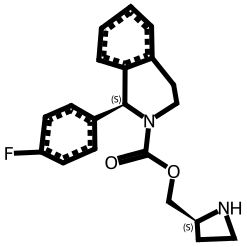 O=C(OC[C@@H]1CCN1)N1CCc2ccccc2[C@@H]1c1ccc(F)cc1